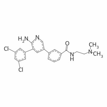 CN(C)CCNC(=O)c1cccc(-c2cnc(N)c(-c3cc(Cl)cc(Cl)c3)c2)c1